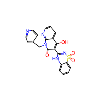 O=c1c(C2=NS(=O)(=O)c3ccccc3N2)c(O)c2cccnc2n1Cc1ccncc1